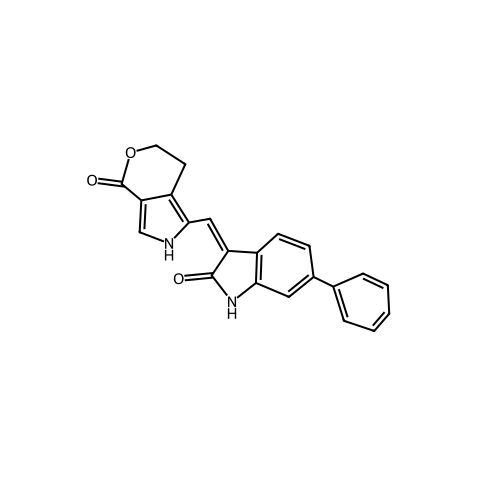 O=C1Nc2cc(-c3ccccc3)ccc2C1=Cc1[nH]cc2c1CCOC2=O